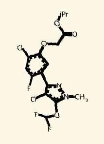 CC(C)OC(=O)COc1cc(-c2nn(C)c(OC(F)F)c2Cl)c(F)cc1Cl